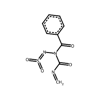 C=NC(=O)N(N=S(=O)=O)C(=O)c1ccccc1